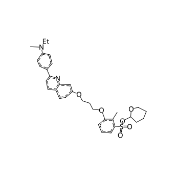 CCN(C)c1ccc(-c2ccc3ccc(OCCCOc4cccc(S(=O)(=O)OC5CCCCO5)c4C)cc3n2)cc1